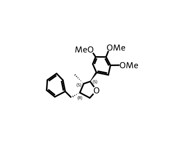 COc1cc([C@H]2OC[C@H](Cc3ccccc3)[C@@H]2C)cc(OC)c1OC